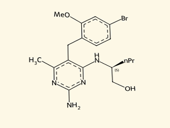 CCC[C@@H](CO)Nc1nc(N)nc(C)c1Cc1ccc(Br)cc1OC